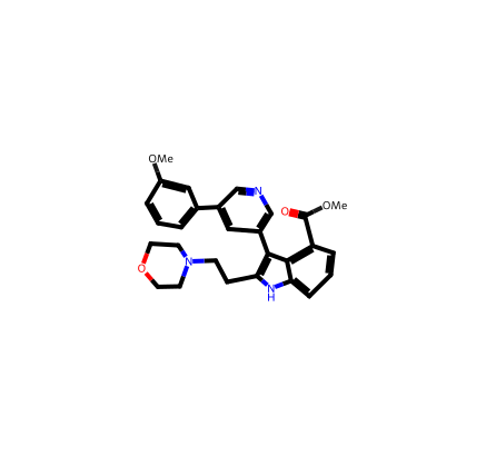 COC(=O)c1cccc2[nH]c(CCN3CCOCC3)c(-c3cncc(-c4cccc(OC)c4)c3)c12